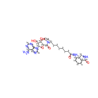 CN(CCCCCCCC(=O)Nc1cccc2c1CNC2=O)C(=O)C1OC(n2cnc3c(N)ncnc32)C(O)C1O